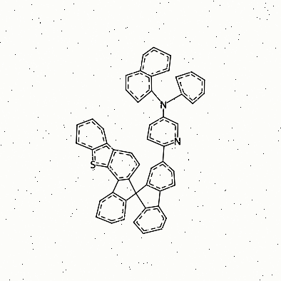 c1ccc(N(c2ccc(-c3ccc4c(c3)C3(c5ccccc5-4)c4ccccc4-c4c3ccc3c4sc4ccccc43)nc2)c2cccc3ccccc23)cc1